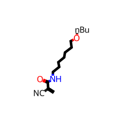 C=C(C#N)C(=O)NCCCCCCCOCCCC